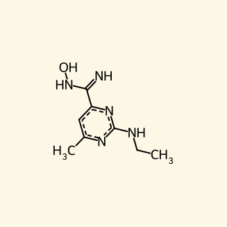 CCNc1nc(C)cc(C(=N)NO)n1